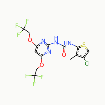 Cc1c(Cl)csc1NC(=O)Nc1nc(OCC(F)(F)F)cc(OCC(F)(F)F)n1